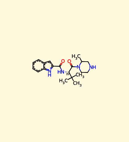 CC1CNCCN1C(=O)[C@@H](NC(=O)c1cc2ccccc2[nH]1)C(C)(C)C